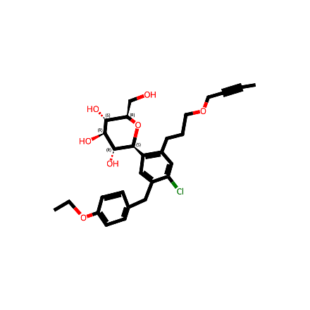 CC#CCOCCCc1cc(Cl)c(Cc2ccc(OCC)cc2)cc1[C@@H]1O[C@H](CO)[C@@H](O)[C@H](O)[C@H]1O